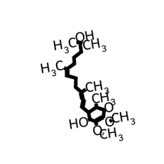 COC1=C(OC)C(O)C(C=C=C(C)CCC=C(C)CCCC(C)(C)O)C(C)C1=O